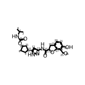 CC(C)NC(=O)O[C@@H]1CC[C@H](c2cc(NC(=O)C3Cc4ccc(O)c(C=O)c4O3)n[nH]2)C1